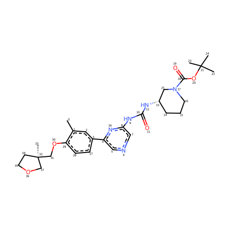 Cc1cc(-c2cncc(NC(=O)N[C@H]3CCCN(C(=O)OC(C)(C)C)C3)n2)ccc1OC[C@]1(C)CCOC1